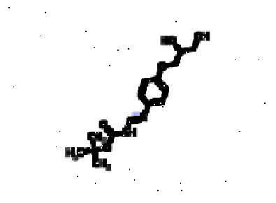 CC(C)(C)OC(=O)N/C=N/c1ccc(OCC(O)CO)cc1